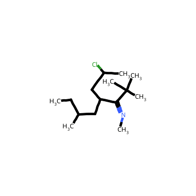 CCC(C)CC(CC(C)Cl)/C(=N\C)C(C)(C)C